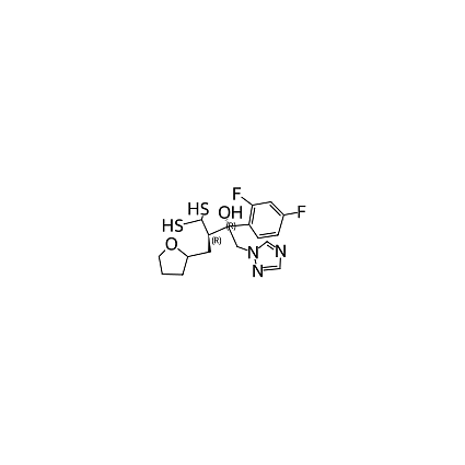 O[C@@](Cn1cncn1)(c1ccc(F)cc1F)[C@@H](CC1CCCO1)C(S)S